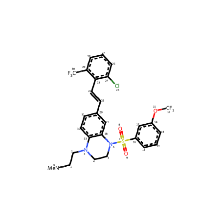 CNCCN1CCN(S(=O)(=O)c2cccc(OC(F)(F)F)c2)c2cc(/C=C/c3c(Cl)cccc3C(F)(F)F)ccc21